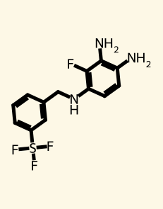 Nc1ccc(NCc2cccc(S(F)(F)F)c2)c(F)c1N